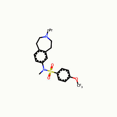 CCCN1CCc2ccc(N(C)S(=O)(=O)c3ccc(OC(F)(F)F)cc3)cc2CC1